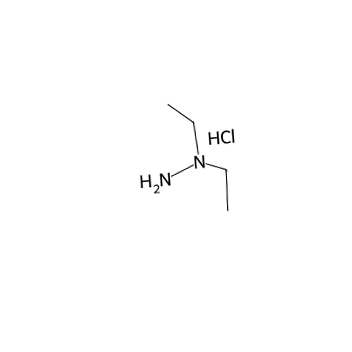 CCN(N)CC.Cl